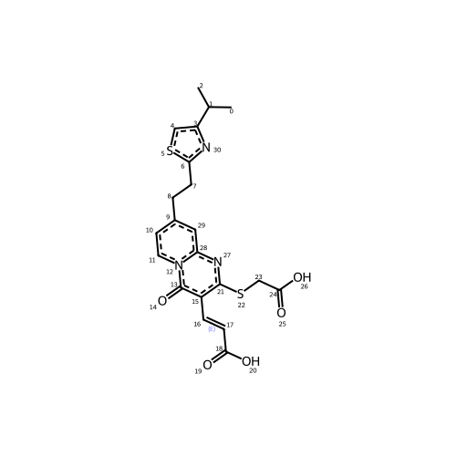 CC(C)c1csc(CCc2ccn3c(=O)c(/C=C/C(=O)O)c(SCC(=O)O)nc3c2)n1